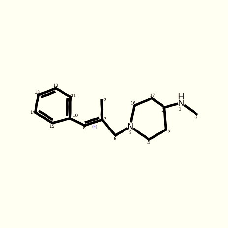 CNC1CCN(C/C(C)=C/c2ccccc2)CC1